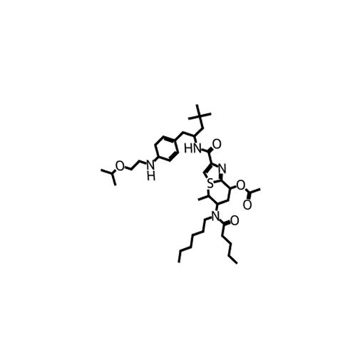 CCCCCCN(C(=O)CCCC)C(CC(OC(C)=O)c1nc(C(=O)NC(CC2=CCC(NCCOC(C)C)C=C2)CC(C)(C)C)cs1)C(C)C